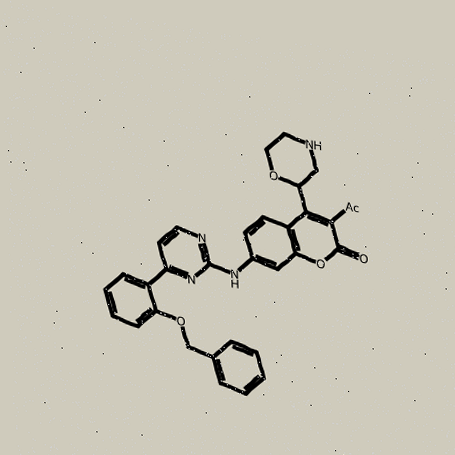 CC(=O)c1c(C2CNCCO2)c2ccc(Nc3nccc(-c4ccccc4OCc4ccccc4)n3)cc2oc1=O